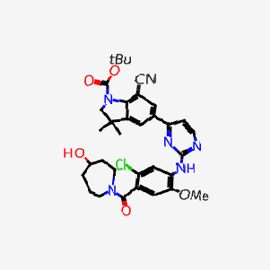 COc1cc(C(=O)N2CCCC(O)CC2)c(Cl)cc1Nc1nccc(-c2cc(C#N)c3c(c2)C(C)(C)CN3C(=O)OC(C)(C)C)n1